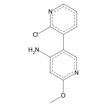 COc1cc(N)c(-c2cccnc2Cl)cn1